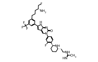 CC(=N)NCC[C@@H]1CCC[C@@H](c2ccc(-n3cc4cc(-c5cc(CCC[C@@H](N)CF)cc(C(F)(F)F)c5)[nH]c4nc3=O)cc2F)N1